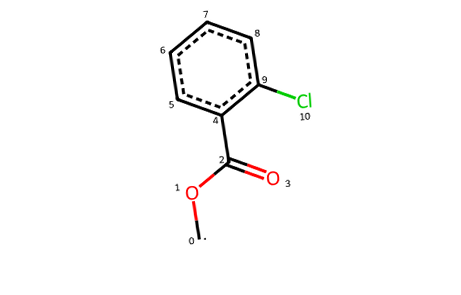 [CH2]OC(=O)c1ccccc1Cl